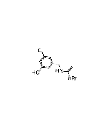 C=C(CCC)NCc1cc(O)cc(Cl)c1